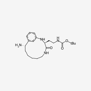 CC(C)(C)OC(=O)NCC[C@@H]1Nc2cccc(c2)[C@@H](N)CCCCCNC1=O